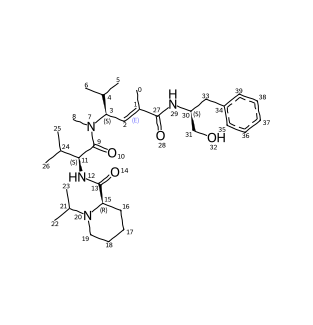 C/C(=C\[C@H](C(C)C)N(C)C(=O)[C@@H](NC(=O)[C@H]1CCCCN1C(C)C)C(C)C)C(=O)N[C@H](CO)Cc1ccccc1